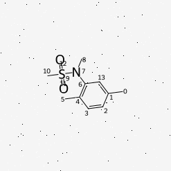 Cc1ccc(C)c(N(C)S(C)(=O)=O)c1